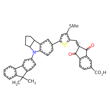 CSc1cc(-c2ccc3c(c2)C2CCCC2N3c2ccc3c(c2)-c2ccccc2C3(C)C)sc1/C=C1\C(=O)c2ccc(C(=O)O)cc2C1=O